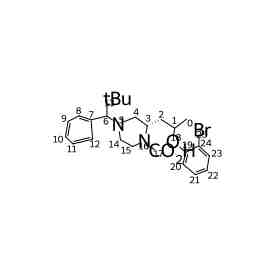 CC(C[C@H]1CN(C(c2ccccc2)C(C)(C)C)CCN1C(=O)O)Oc1ccccc1Br